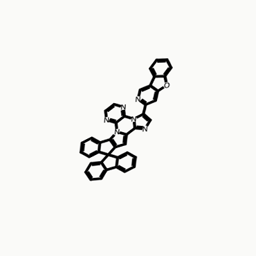 c1ccc2c(c1)-c1ccccc1C21c2ccccc2-c2c1cc1c3ncc(-c4cc5oc6ccccc6c5cn4)n3c3nccnc3n21